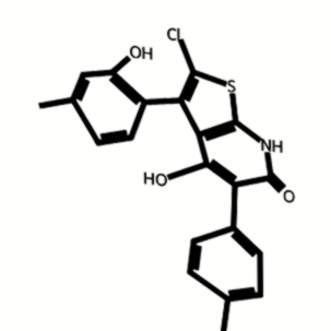 Cc1ccc(-c2c(O)c3c(-c4ccc(C)cc4O)c(Cl)sc3[nH]c2=O)cc1